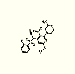 CSc1nc(C(C#N)S(=O)(=O)c2ccccc2F)c([N+](=O)[O-])c(N2CCOC(C)C2)n1